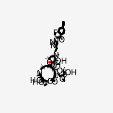 C#Cc1ccc([C@@H](OC)[C@@H](CF)n2cc(CCN(C)[C@H]3C[C@@H](C)O[C@@H](O[C@@H]4[C@@H](C)[C@H](C5C[C@@](C)(OC)[C@@H](O)[C@H](C)O5)[C@@H](C)C(=O)O[C@H](CC)[C@@](C)(O)[C@H](O)[C@@H](C)N(C)C[C@H](C)C[C@@]4(C)O)[C@@H]3O)nn2)cc1